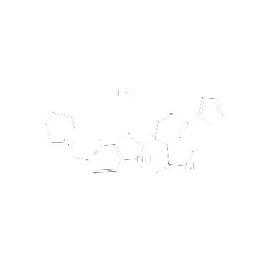 Cl.O=C1NCc2c(-c3cccs3)ccc(-c3cc4cc(CN5CCCCC5)ccc4[nH]3)c21